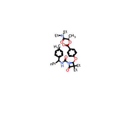 CCCC(NC(=O)N1C(=O)C(CC)(CC)[C@@H]1Oc1ccc(C(=O)O[C@@H](C)C(=O)N(CC)CC)cc1)c1ccc(C)cc1